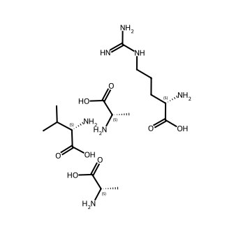 CC(C)[C@H](N)C(=O)O.C[C@H](N)C(=O)O.C[C@H](N)C(=O)O.N=C(N)NCCC[C@H](N)C(=O)O